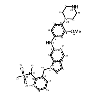 COc1cc(Nc2cc3c(ccn3Cc3cccnc3N(C)S(C)(=O)=O)cn2)ccc1N1CCNCC1